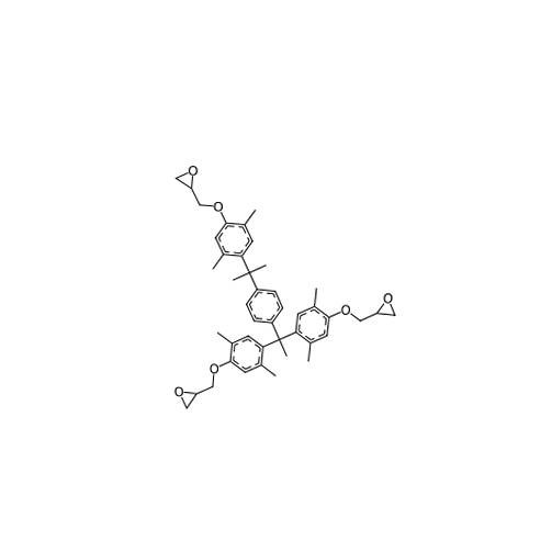 Cc1cc(C(C)(C)c2ccc(C(C)(c3cc(C)c(OCC4CO4)cc3C)c3cc(C)c(OCC4CO4)cc3C)cc2)c(C)cc1OCC1CO1